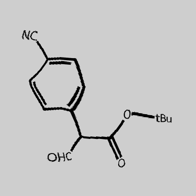 CC(C)(C)OC(=O)C(C=O)c1ccc(C#N)cc1